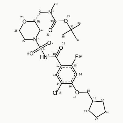 CN(C[C@@H]1CN(S(=O)(=O)NC(=O)c2cc(Cl)c(OCC3CCCC3)cc2F)CCO1)C(=O)OC(C)(C)C